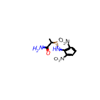 CC(SNc1c([N+](=O)[O-])cccc1[N+](=O)[O-])C(N)=O